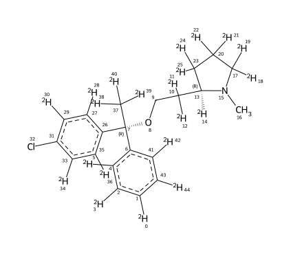 [2H]c1c([2H])c([2H])c([C@@](OCC([2H])([2H])[C@]2([2H])N(C)C([2H])([2H])C([2H])([2H])C2([2H])[2H])(c2c([2H])c([2H])c(Cl)c([2H])c2[2H])C([2H])([2H])[2H])c([2H])c1[2H]